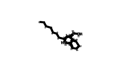 CCCCCCCc1c/c(=N/O)c2c([nH]1)=CCCC=2